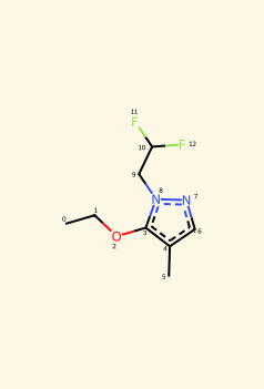 CCOc1c(C)[c]nn1CC(F)F